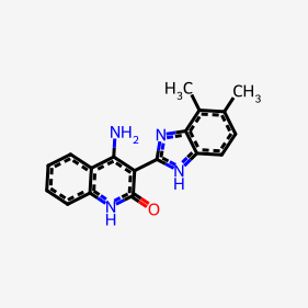 Cc1ccc2[nH]c(-c3c(N)c4ccccc4[nH]c3=O)nc2c1C